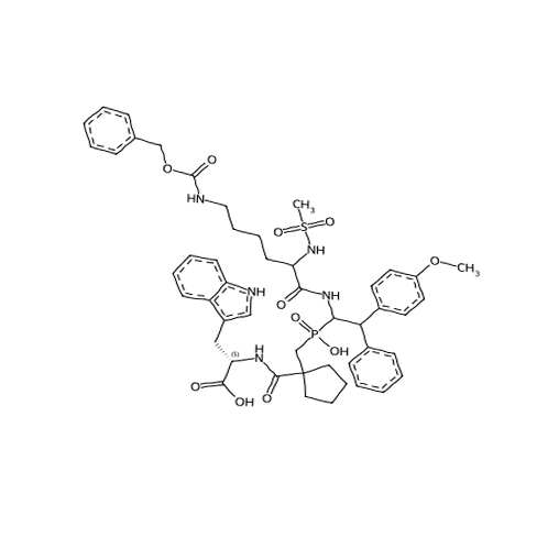 COc1ccc(C(c2ccccc2)C(NC(=O)C(CCCCNC(=O)OCc2ccccc2)NS(C)(=O)=O)P(=O)(O)CC2(C(=O)N[C@@H](Cc3c[nH]c4ccccc34)C(=O)O)CCCC2)cc1